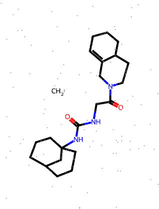 O=C(NCC(=O)N1CCC2CCCC=C2C1)NC12CCCC(CCC1)C2.[CH2]